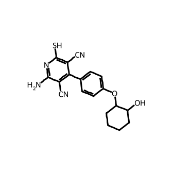 N#Cc1c(N)nc(S)c(C#N)c1-c1ccc(OC2CCCCC2O)cc1